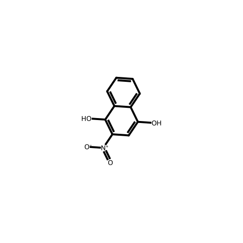 O=[N+]([O-])c1cc(O)c2ccccc2c1O